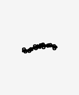 C=CC(=O)OCCCOc1ccc(C=CC(=O)Oc2ccc3c(c2)C(C)(C)c2cc(OC(=O)C=Cc4ccc(OCCCOC(=O)C=C)cc4)ccc2-3)cc1